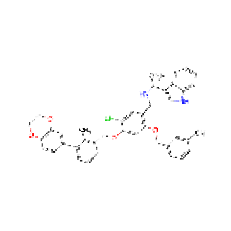 Cc1c(COc2cc(OCc3cccc(C#N)c3)c(CNC(C(=O)O)c3c[nH]c4ccccc34)cc2Cl)cccc1-c1ccc2c(c1)OCCO2